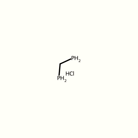 Cl.PCP